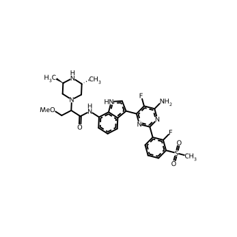 COCC(C(=O)Nc1cccc2c(-c3nc(-c4cccc(S(C)(=O)=O)c4F)nc(N)c3F)c[nH]c12)N1C[C@@H](C)N[C@H](C)C1